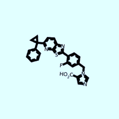 O=C(O)c1cncn1Cc1ccc(-c2nc3ccc(C4(c5ccccc5)CC4)nc3s2)c(F)c1